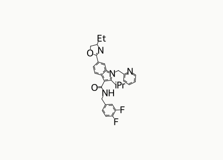 CCC1COC(c2ccc3c(C(=O)NCc4ccc(F)c(F)c4)c(C(C)C)n(Cc4ccccn4)c3c2)=N1